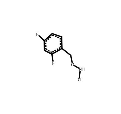 Fc1ccc(CONCl)c(F)c1